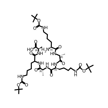 C[C@@H](NC(=O)C(CCCCNC(=O)OC(C)(C)C)NC(=O)[C@@H](C)NC(=O)[C@H](CCCCNC(=O)OC(C)(C)C)NC(=O)[C@@H](C)NC(=O)[C@@H](N)CCCCNC(=O)OC(C)(C)C)C(=O)O